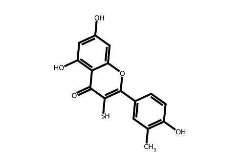 Cc1cc(-c2oc3cc(O)cc(O)c3c(=O)c2S)ccc1O